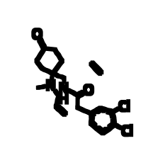 C=C.C=CCN(C)C1(CNC(=O)Cc2ccc(Cl)c(Cl)c2)CCC(=O)CC1